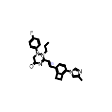 CCCN1C(/C=C/c2ccc(-n3cnc(C)c3)c3c2CC3)=NC(=O)CN1c1ccc(F)cc1